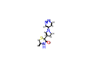 C=C1CSC(C2=CN(c3ccnnc3)CC2)C(=O)N1